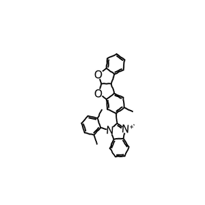 Cc1cc2c(cc1-c1n(-c3c(C)cccc3C)c3ccccc3[n+]1C)OC1Oc3ccccc3C21